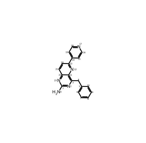 Nc1nc(Cc2ccccc2)c2nc(-c3ccncc3)ccc2n1